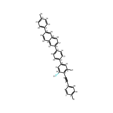 Cc1ccc(C#Cc2c(C)cc(-c3ccc(-c4ccc5cc(-c6ccc(C)cc6)ccc5c4)cc3)cc2F)cc1